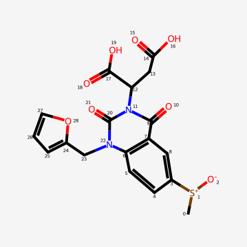 C[S+]([O-])c1ccc2c(c1)c(=O)n(C(CC(=O)O)C(=O)O)c(=O)n2Cc1ccco1